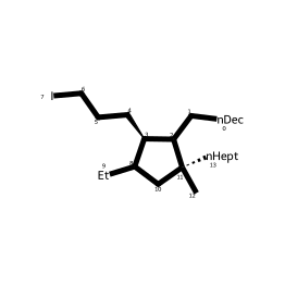 CCCCCCCCCCCC1[C@H](CCCI)C(CC)C[C@@]1(C)CCCCCCC